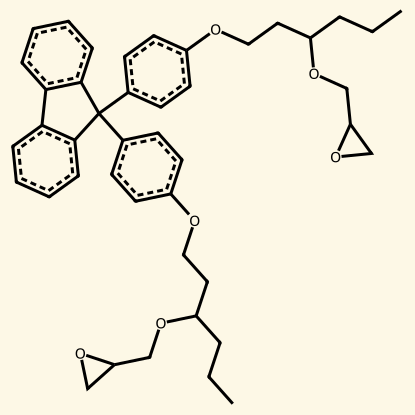 CCCC(CCOc1ccc(C2(c3ccc(OCCC(CCC)OCC4CO4)cc3)c3ccccc3-c3ccccc32)cc1)OCC1CO1